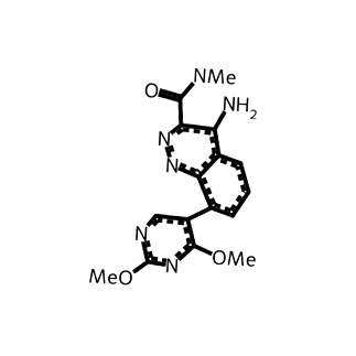 CNC(=O)c1nnc2c(-c3cnc(OC)nc3OC)cccc2c1N